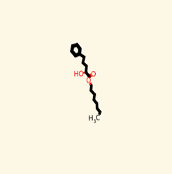 CCCCCCCCOC(=O)[C@@H](O)CCCc1ccccc1